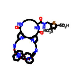 O=C1NCCCCC(C(=O)NCc2sc(S(=O)(=O)O)cc2S(=O)(=O)O)NC(=O)c2cc3nc(c2)-c2cc1cc(n2)CN1Cc2cccc(n2)-c2cccc(n2)CN(Cc2cccc(n2)-c2cccc(n2)C1)C3